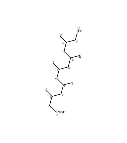 CCCC(C)CC(C)CC(C)CC(C)CC(C)CC(C)CC(C)C